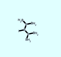 BB(B)B(I)B(B)B